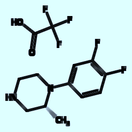 C[C@@H]1CNCCN1c1ccc(F)c(F)c1.O=C(O)C(F)(F)F